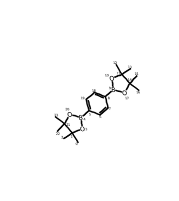 CC1(C)OB(c2ccc(B3OC(C)(C)C(C)(C)O3)cc2)OC1(C)C